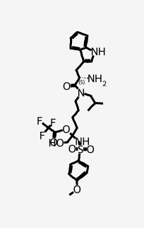 COc1ccc(S(=O)(=O)NC(CO)(CCCCN(CC(C)C)C(=O)[C@@H](N)Cc2c[nH]c3ccccc23)OC(=O)C(F)(F)F)cc1